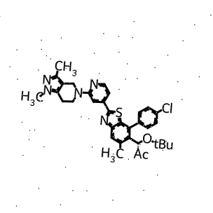 CC(=O)[C@@H](OC(C)(C)C)c1c(C)cc2nc(-c3ccnc(N4CCc5c(c(C)nn5C)C4)c3)sc2c1-c1ccc(Cl)cc1